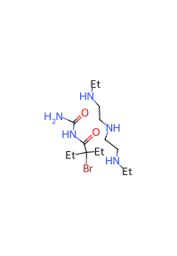 CCC(Br)(CC)C(=O)NC(N)=O.CCNCCNCCNCC